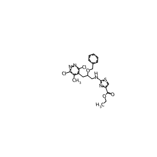 CCOC(=O)c1csc(NCC(Cc2c(Cl)nnc(Cl)c2C)OCc2ccccc2)n1